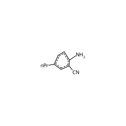 CCCc1ccc(N)c(C#N)c1